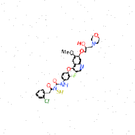 COc1cc2c(Oc3ccc(NC(=O)N(S)C(=O)Cc4ccccc4Cl)cc3F)ccnc2cc1OCC(O)CN1CCOCC1